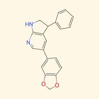 c1ccc(C2CNc3ncc(-c4ccc5c(c4)OCO5)cc32)cc1